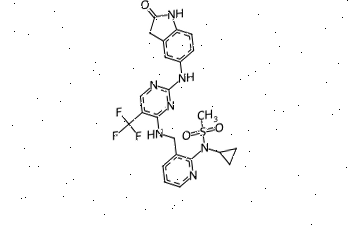 CS(=O)(=O)N(c1ncccc1CNc1nc(Nc2ccc3c(c2)CC(=O)N3)ncc1C(F)(F)F)C1CC1